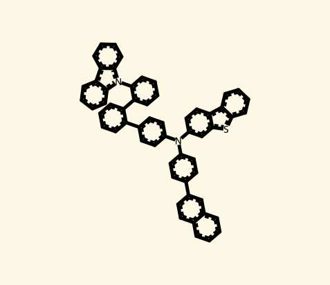 c1ccc(-c2ccccc2-n2c3ccccc3c3ccccc32)c(-c2ccc(N(c3ccc(-c4ccc5ccccc5c4)cc3)c3ccc4c(c3)sc3ccccc34)cc2)c1